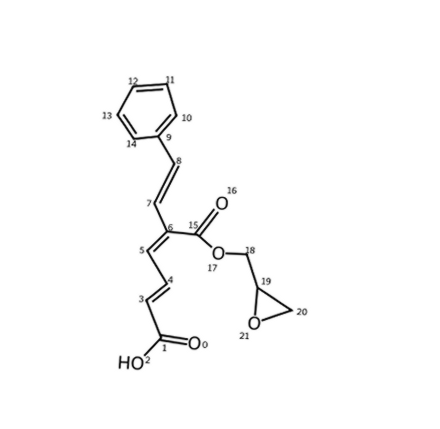 O=C(O)C=CC=C(C=Cc1ccccc1)C(=O)OCC1CO1